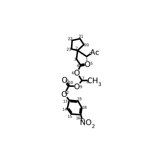 CC(=O)CC1(CC(=O)OC(C)OC(=O)Oc2ccc([N+](=O)[O-])cc2)CCCC1